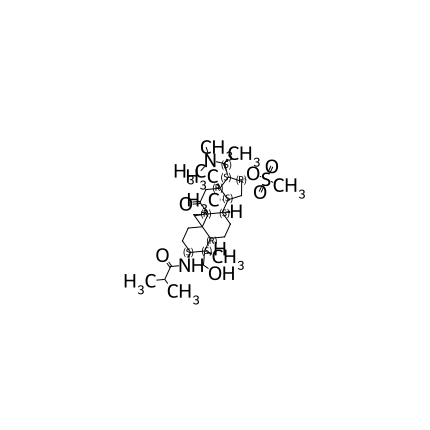 CC(C)C(=O)N[C@H]1CCC23C[C@]24C(=O)C[C@]2(C)[C@@H]([C@H](C)N(C)C)[C@H](OS(C)(=O)=O)C[C@@]2(C)[C@@H]4CC[C@H]3[C@]1(C)CO